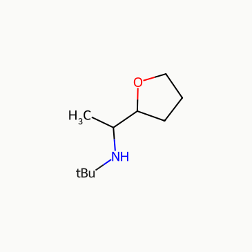 CC(NC(C)(C)C)C1CCCO1